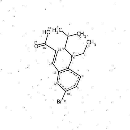 CCN(CC(C)C)c1ccc(Br)cc1/C=C/C(=O)O